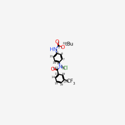 CC(C)(C)OC(=O)Nc1ccc(N(Cl)C(=O)c2cccc(C(F)(F)F)c2)cc1